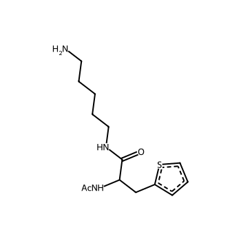 CC(=O)NC(Cc1cccs1)C(=O)NCCCCCN